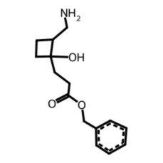 NCC1CCC1(O)CCC(=O)OCc1ccccc1